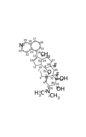 CN(C)[C@H]1C[C@@]23CC[C@]4(O2)C2CC=C(c5cccc6cnccc56)[C@@]2(C)CCC4(F)CC3(F)[C@@H](O)[C@@H]1O